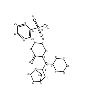 O=C1CCCCC1[S+](C1CCCCC1)C1CC2CCC1C2.O=S(=O)([O-])c1ccccc1